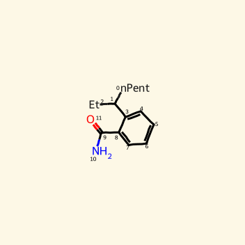 CCCCCC(CC)c1ccccc1C(N)=O